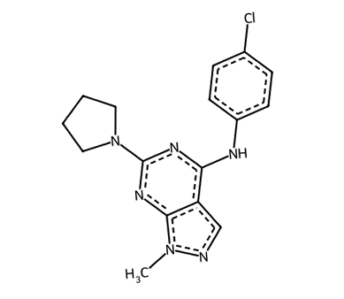 Cn1ncc2c(Nc3ccc(Cl)cc3)nc(N3CCCC3)nc21